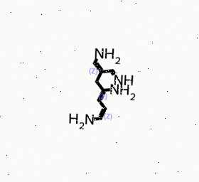 N=C/C(=C\N)C/C(N)=C/C=C\N